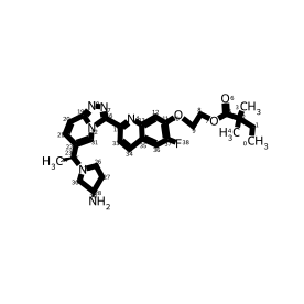 CCC(C)(C)C(=O)OCCOc1cc2nc(-c3nnc4ccc([C@H](C)N5CC[C@H](N)C5)cn34)ccc2cc1F